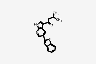 CC(C)CC(=O)c1c[nH]c2ncc(-c3cc4ccccc4s3)cc12